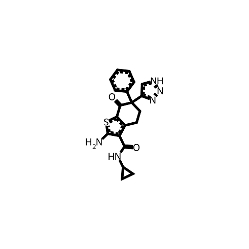 Nc1sc2c(c1C(=O)NC1CC1)CCC(c1ccccc1)(c1c[nH]nn1)C2=O